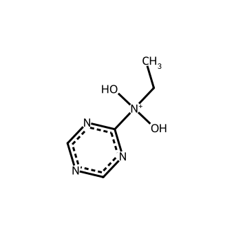 CC[N+](O)(O)c1ncncn1